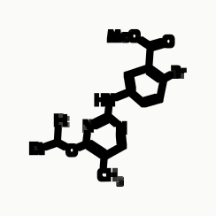 CCC(CC)Oc1nc(Nc2ccc(Br)c(C(=O)OC)c2)ncc1C